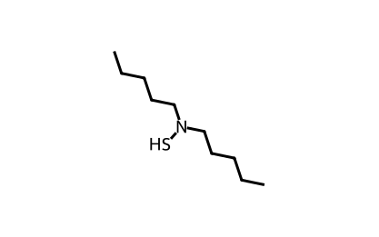 CCCCCN(S)CCCCC